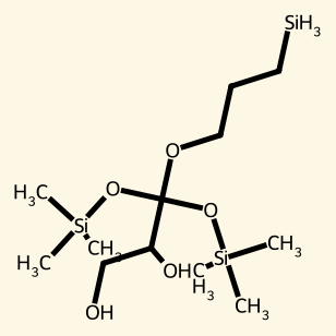 C[Si](C)(C)OC(OCCC[SiH3])(O[Si](C)(C)C)C(O)CO